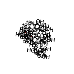 CC(C)(C)c1cc(C(C[C@H](O)[C@H](O)CO)(c2cc(C(C)(C)C)c(O)c(C(C)(C)C)c2)C(C(=O)O)(c2cc(C(C)(C)C)c(O)c(C(C)(C)C)c2)c2c(C[C@H](O)[C@H](O)CO)c(C(C)(C)C)c(OC[C@H](O)[C@H](O)CO)c(C(C)(C)CC[C@H](O)[C@H](O)CO)c2C[C@H](O)[C@H](O)CO)cc(C(C)(C)C)c1O